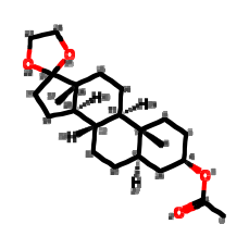 CC(=O)O[C@@H]1CC[C@]2(C)[C@H](CC[C@H]3[C@H]2CC[C@]2(C)[C@@H]3CCC23OCCO3)C1